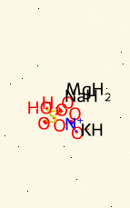 O.O=[N+]([O-])OS(=O)(=O)O.[KH].[MgH2].[NaH]